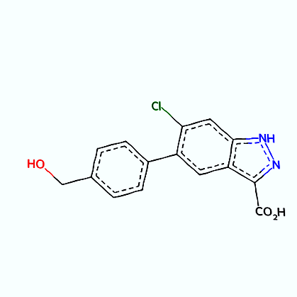 O=C(O)c1n[nH]c2cc(Cl)c(-c3ccc(CO)cc3)cc12